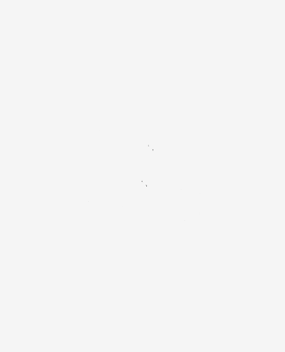 C/C1=C(c2cccc3c2oc2ccccc23)/N=C(c2cccc3oc4ccccc4c23)\N=C(\c2cc3ccccc3c3ccccc23)CC1